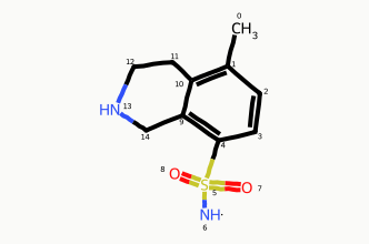 Cc1ccc(S([NH])(=O)=O)c2c1CCNC2